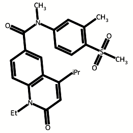 CCn1c(=O)cc(C(C)C)c2cc(C(=O)N(C)c3ccc(S(C)(=O)=O)c(C)c3)ccc21